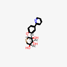 CC(=O)[C@]1(O)[C@@](O)(C(C)=O)CS[C@H](Oc2ccc(-c3ccccn3)cc2)[C@@]1(O)C(C)=O